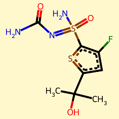 CC(C)(O)c1cc(F)c(S(N)(=O)=NC(N)=O)s1